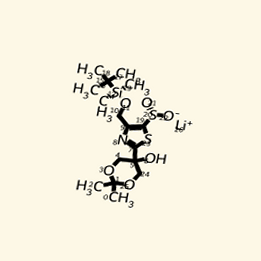 CC1(C)OCC(O)(c2nc(CO[Si](C)(C)C(C)(C)C)c(S(=O)[O-])s2)CO1.[Li+]